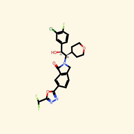 O=C1c2cc(-c3nnc(C(F)F)o3)ccc2CN1[C@H](C1CCOCC1)[C@@H](O)c1ccc(F)c(Cl)c1